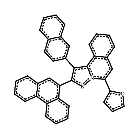 c1coc(-c2cc3ccccc3c3c(-c4ccc5ccccc5c4)c(-c4cc5ccccc5c5ccccc45)nn23)c1